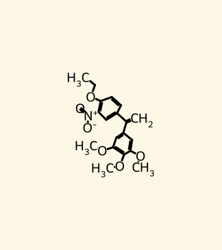 C=C(c1cc(OC)c(OC)c(OC)c1)c1ccc(OCC)c([N+](=O)[O-])c1